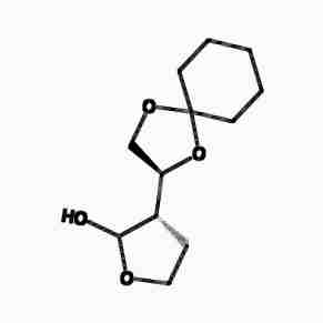 OC1OCC[C@H]1[C@H]1COC2(CCCCC2)O1